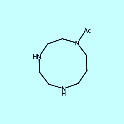 CC(=O)N1CCCNCCNCC1